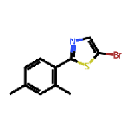 Cc1ccc(-c2ncc(Br)s2)c(C)c1